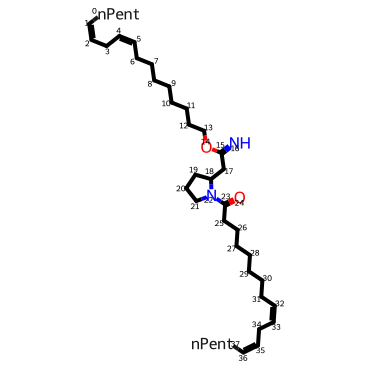 CCCCC/C=C\C/C=C\CCCCCCCCOC(=N)CC1CCCN1C(=O)CCCCCCC/C=C\C/C=C\CCCCC